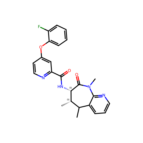 CC1c2cccnc2N(C)C(=O)[C@@H](NC(=O)c2cc(Oc3ccccc3F)ccn2)[C@H]1C